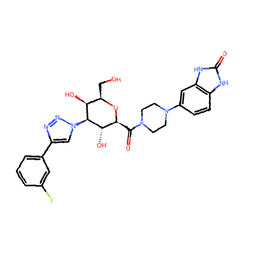 O=C([C@@H]1O[C@H](CO)[C@H](O)[C@H](n2cc(-c3cccc(F)c3)nn2)[C@H]1O)N1CCN(c2ccc3[nH]c(=O)[nH]c3c2)CC1